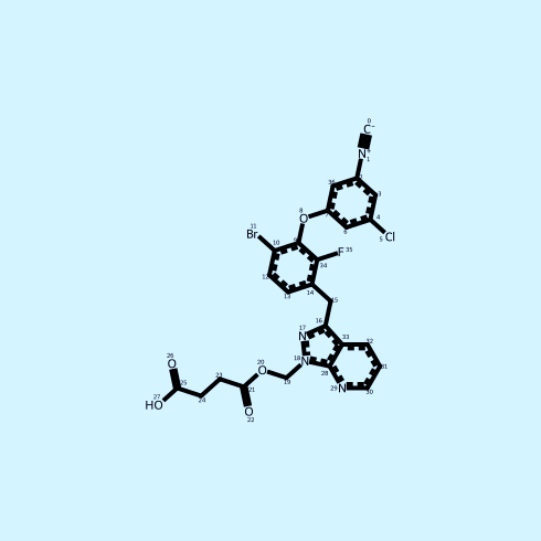 [C-]#[N+]c1cc(Cl)cc(Oc2c(Br)ccc(Cc3nn(COC(=O)CCC(=O)O)c4ncccc34)c2F)c1